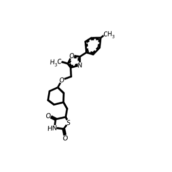 Cc1ccc(-c2nc(COC3CCCC(CC4SC(=O)NC4=O)C3)c(C)o2)cc1